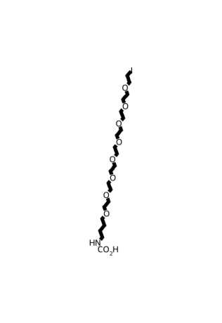 O=C(O)NCCCCOCCOCCOCCOCCOCCOCCOCCOCCI